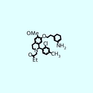 CCC(=O)CN1CCc2cc(OC)c(OCCC3=CC(N)=CCC3)cc2C1c1ccc(C)cc1Cl